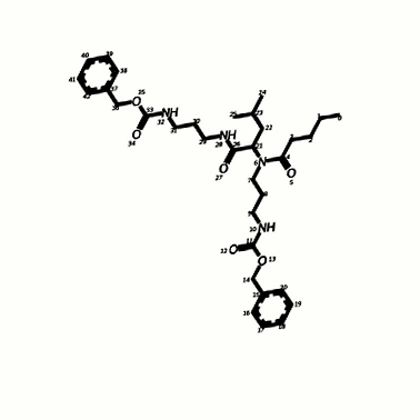 CCCCC(=O)N(CCCNC(=O)OCc1ccccc1)C(CC(C)C)C(=O)NCCCNC(=O)OCc1ccccc1